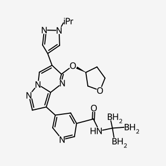 BC(B)(B)NC(=O)c1cncc(-c2cnn3cc(-c4cnn(C(C)C)c4)c(O[C@H]4CCOC4)nc23)c1